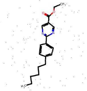 CCCCCCc1ccc(-c2ncc(C(=O)OCC)cn2)cc1